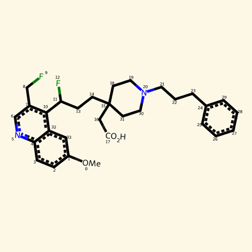 COc1ccc2ncc(CF)c(C(F)CCC3(CC(=O)O)CCN(CCCc4ccccc4)CC3)c2c1